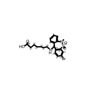 CN1c2ccccc2C(NCCCCCCC(=O)O)c2ccc(Br)cc2S1(=O)=O